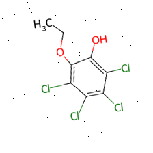 CCOc1c(O)c(Cl)c(Cl)c(Cl)c1Cl